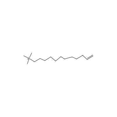 C=CCCCCCCCCCC[Si](C)(C)C